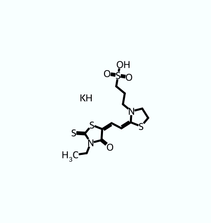 CCN1C(=O)/C(=C\C=C2\SCCN2CCCS(=O)(=O)O)SC1=S.[KH]